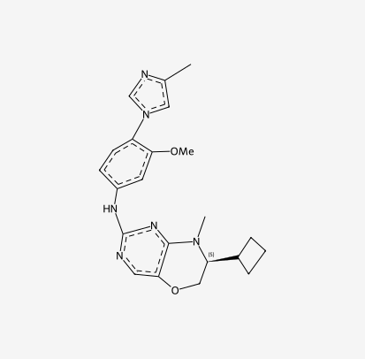 COc1cc(Nc2ncc3c(n2)N(C)[C@@H](C2CCC2)CO3)ccc1-n1cnc(C)c1